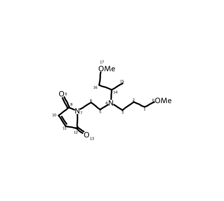 COCCCN(CCN1C(=O)C=CC1=O)C(C)COC